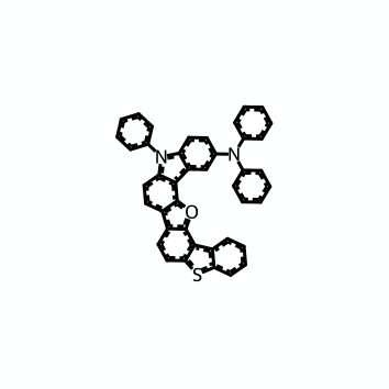 c1ccc(N(c2ccccc2)c2ccc3c(c2)c2c4oc5c(ccc6sc7ccccc7c65)c4ccc2n3-c2ccccc2)cc1